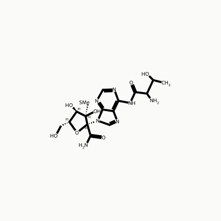 CS[C@@]1(O)[C@H](O)[C@@H](CO)O[C@@]1(C(N)=O)n1cnc2c(NC(=O)C(N)C(C)O)ncnc21